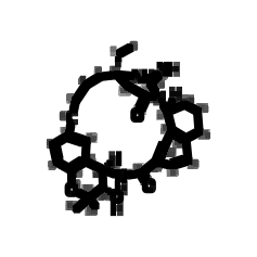 CC[C@]12CCCCc3ccc4c(c3)[C@@H](NC(=O)c3ccc5c(c3)[C@@H](CCC5)N(C(=N)N1)C(=O)C2)[C@H](O)C(C)(C)O4